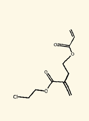 C=CC(=O)OCCC(=C)C(=O)OCCCl